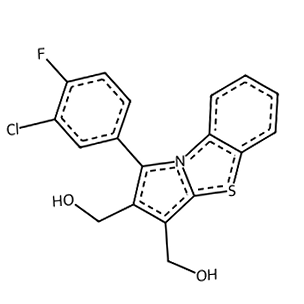 OCc1c(CO)c2sc3ccccc3n2c1-c1ccc(F)c(Cl)c1